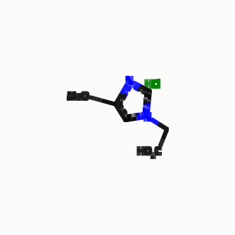 COc1cn(CC(=O)O)cn1.Cl